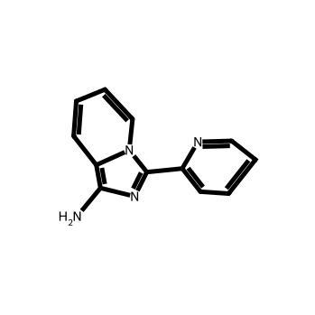 Nc1nc(-c2ccccn2)n2ccccc12